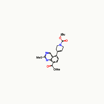 COC(=O)c1ccc(C2=CCN(C(=O)OC(C)(C)C)CC2)c2cnc(SC)nc12